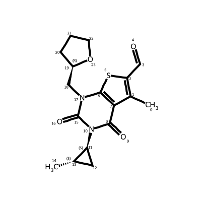 Cc1c(C=O)sc2c1c(=O)n([C@H]1C[C@@H]1C)c(=O)n2C[C@H]1CCCO1